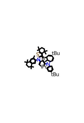 CC1=C2B(c3c(sc4c3C(C)(C)CCC4(C)C)N(c3cc4c(cc3C)C(C)(C)CCC4(C)C)/C2=C/C(C)C)C2C=C(C(C)(C)C)C=CC(C2C)N1c1ccc(C(C)(C)C)cc1